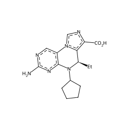 CC[C@@H]1c2c(C(=O)O)ncn2-c2cnc(N)nc2N1C1CCCC1